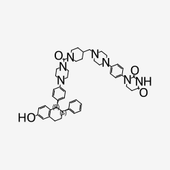 O=C1CCN(c2ccc(N3CCN(CC4CCN(C(=O)N5CCN(c6ccc([C@@H]7c8ccc(O)cc8CC[C@@H]7c7ccccc7)cc6)CC5)CC4)CC3)cc2)C(=O)N1